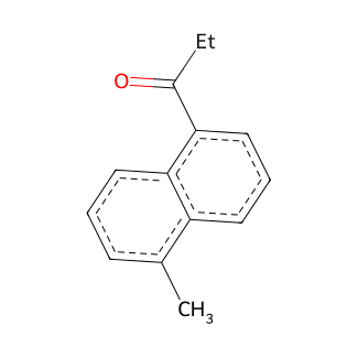 CCC(=O)c1cccc2c(C)cccc12